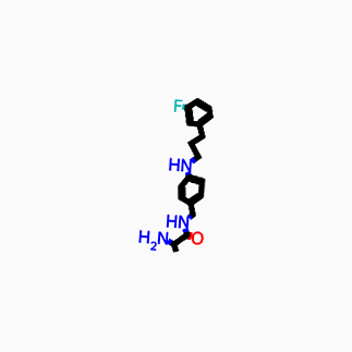 CC(N)C(=O)NCc1ccc(NCCCc2cccc(F)c2)cc1